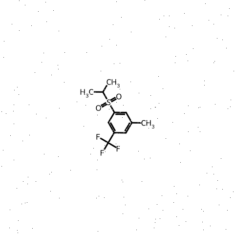 Cc1cc(C(F)(F)F)cc(S(=O)(=O)C(C)C)c1